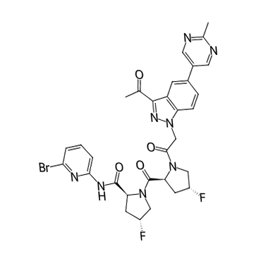 CC(=O)c1nn(CC(=O)N2C[C@H](F)C[C@H]2C(=O)N2C[C@H](F)C[C@H]2C(=O)Nc2cccc(Br)n2)c2ccc(-c3cnc(C)nc3)cc12